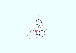 Cc1cccc(C(=O)N2[C@H]3COC[C@@H]2c2nnc(-c4ncc(F)cn4)n2C3)c1C